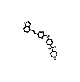 O=S(=O)(c1ccc(Nc2ncc(C=Cc3cccc4[nH]ccc34)cn2)cc1)C1CCNCC1